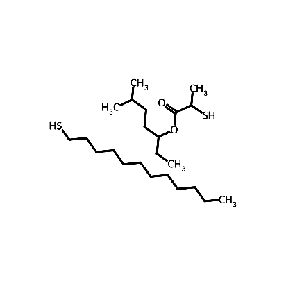 CCC(CCC(C)C)OC(=O)C(C)S.CCCCCCCCCCCCS